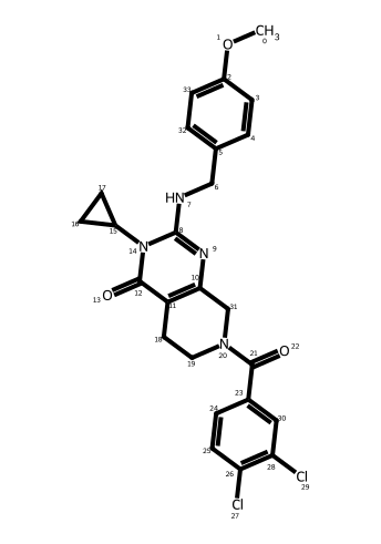 COc1ccc(CNc2nc3c(c(=O)n2C2CC2)CCN(C(=O)c2ccc(Cl)c(Cl)c2)C3)cc1